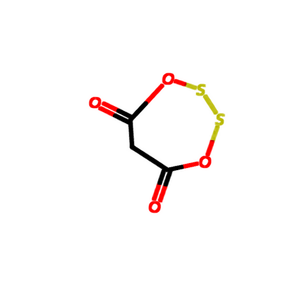 O=C1CC(=O)OSSO1